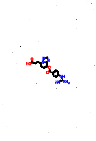 N=C(N)Nc1ccc(C(=O)Oc2ccc(CCC(=O)O)n3ncnc23)cc1